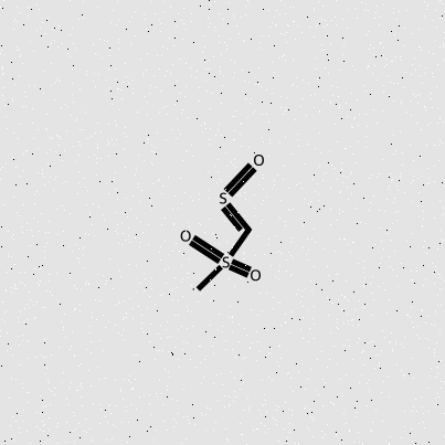 [CH2]S(=O)(=O)C=S=O